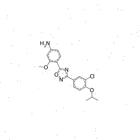 COc1cc(N)ccc1-c1nc(-c2ccc(OC(C)C)c(Cl)c2)no1